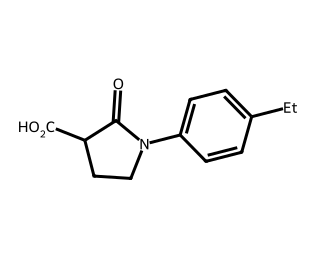 CCc1ccc(N2CCC(C(=O)O)C2=O)cc1